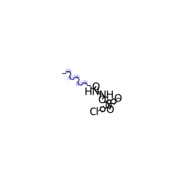 CC/C=C\C/C=C\C/C=C\C/C=C\C/C=C\CCCC(=O)NCCNC(=O)Cc1c(C)n(C(=O)c2ccc(Cl)cc2)c2ccc(OC)cc12